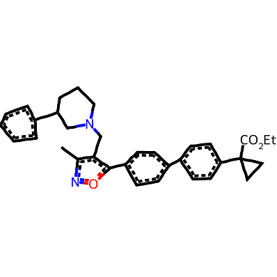 CCOC(=O)C1(c2ccc(-c3ccc(-c4onc(C)c4CN4CCCC(c5ccccc5)C4)cc3)cc2)CC1